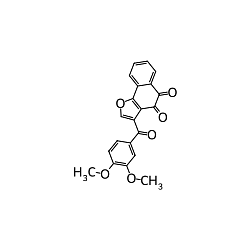 COc1ccc(C(=O)c2coc3c2C(=O)C(=O)c2ccccc2-3)cc1OC